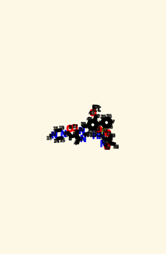 CCCCc1nc(C)c(CC(=O)N2CCN(C)CC2)c(=O)n1Cc1ccc(-c2ccccc2S(=O)(=O)Nc2noc(C)c2C)c(COCC)c1